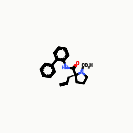 C=CC[C@@]1(C(=O)Nc2ccccc2-c2ccccc2)CCCN1C(=O)O